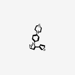 c1cc(-c2ccsc2)n(-c2ccc(N3CCSCC3)cc2)n1